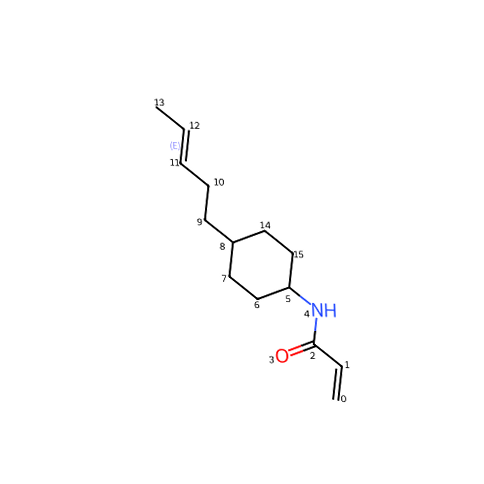 C=CC(=O)NC1CCC(CC/C=C/C)CC1